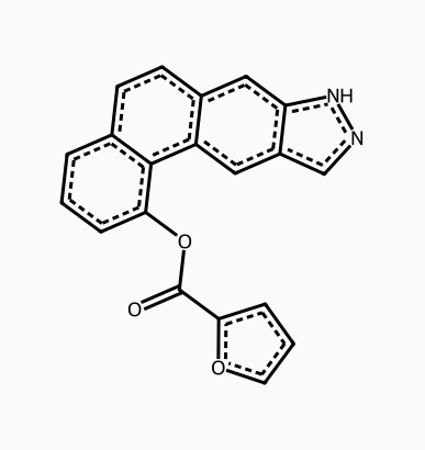 O=C(Oc1cccc2ccc3cc4[nH]ncc4cc3c12)c1ccco1